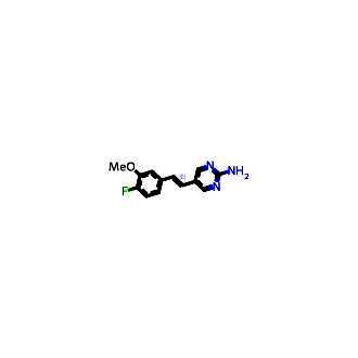 COc1cc(/C=C/c2cnc(N)nc2)ccc1F